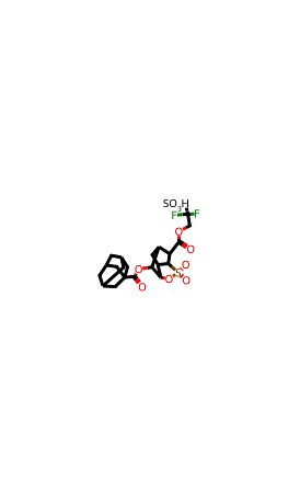 O=C(OCC(F)(F)S(=O)(=O)O)C1C2CC3C(OS(=O)(=O)C31)C2OC(=O)C12CC3CC(CC(C3)C1)C2